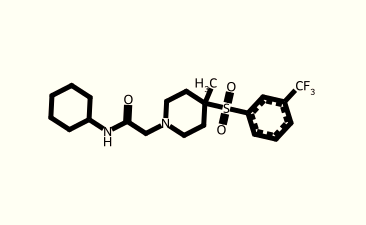 CC1(S(=O)(=O)c2cccc(C(F)(F)F)c2)CCN(CC(=O)NC2CCCCC2)CC1